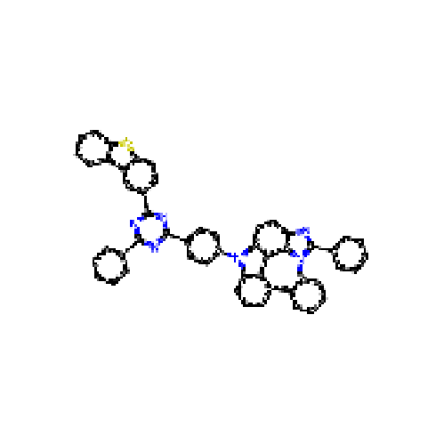 c1ccc(-c2nc(-c3ccc(-n4c5cccc6c7ccccc7n7c(-c8ccccc8)nc8ccc4c(c65)c87)cc3)nc(-c3ccc4sc5ccccc5c4c3)n2)cc1